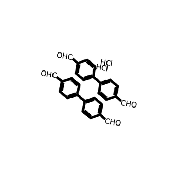 Cl.Cl.O=Cc1ccc(-c2ccc(C=O)cc2)cc1.O=Cc1ccc(-c2ccc(C=O)cc2)cc1